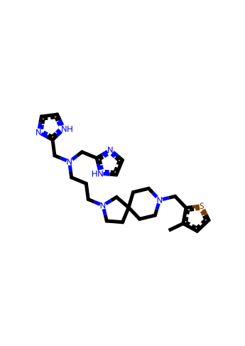 Cc1ccsc1CN1CCC2(CC1)CCN(CCCN(Cc1ncc[nH]1)Cc1ncc[nH]1)C2